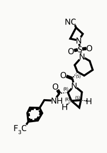 N#CC1CN(S(=O)(=O)N2CCC[C@H](C(=O)N3C[C@H]4C[C@H]4[C@@H]3C(=O)NCc3ccc(C(F)(F)F)cc3)C2)C1